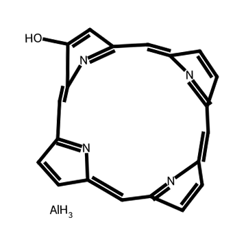 OC1=CC2=NC1=CC1=NC(=CC3=NC(=CC4=NC(=C2)C=C4)C=C3)C=C1.[AlH3]